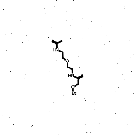 C=C(C)NCCOCCNC(=C)COCC